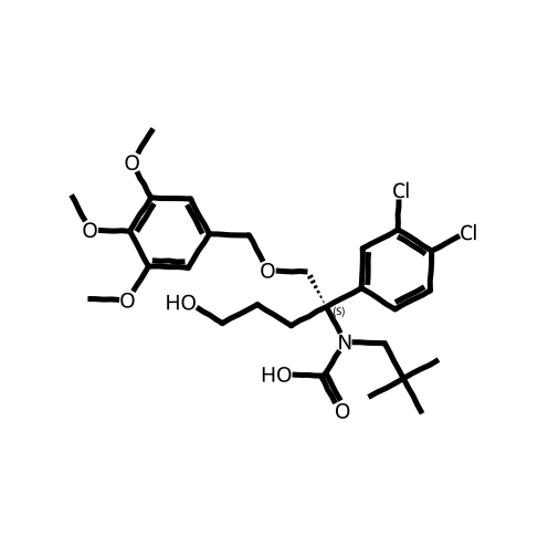 COc1cc(COC[C@](CCCO)(c2ccc(Cl)c(Cl)c2)N(CC(C)(C)C)C(=O)O)cc(OC)c1OC